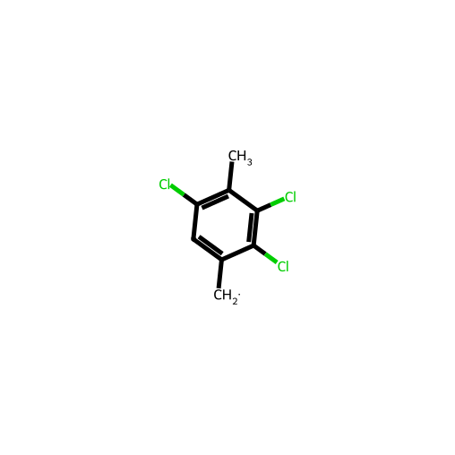 [CH2]c1cc(Cl)c(C)c(Cl)c1Cl